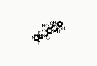 O=C(NCc1c(F)cncc1F)c1cn2c(c(O)c1=O)C(=O)N1[C@H]3CC[C@H](C3)O[C@@H]1C2